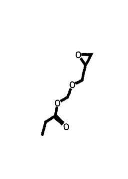 CCC(=O)OCOCC1CO1